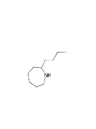 [CH2]CCCC1CCCCCN1